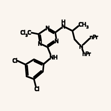 CCCN(CCC)CC(C)Nc1nc(Nc2cc(Cl)cc(Cl)c2)nc(C(Cl)(Cl)Cl)n1